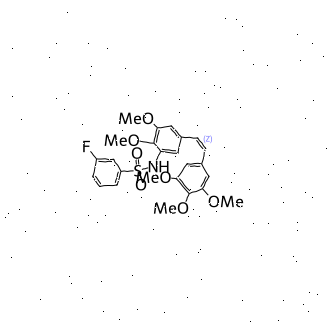 COc1cc(/C=C\c2cc(OC)c(OC)c(OC)c2)cc(NS(=O)(=O)c2cccc(F)c2)c1OC